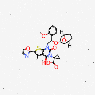 COc1ccccc1[C@H](Cn1c(=O)n(C2(C(=O)O)CC2)c(=O)c2c(C)c(-c3ncco3)sc21)O[C@H]1C[C@H]2CC[C@@H](C1)O2